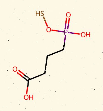 O=C(O)CCCP(=O)(O)OS